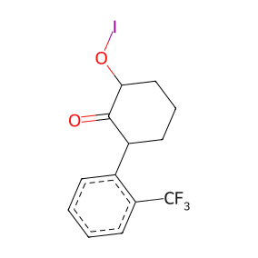 O=C1C(OI)CCCC1c1ccccc1C(F)(F)F